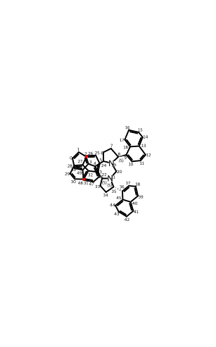 c1ccc2c(C3CC[C@@H](c4cccc5ccccc45)N3CN3[C@H](c4cccc5ccccc45)CC[C@H]3c3cccc4ccccc34)cccc2c1